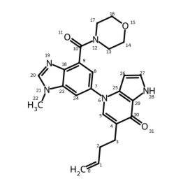 C=CCCc1cn(-c2cc(C(=O)N3CCOCC3)c3ncn(C)c3c2)c2cc[nH]c2c1=O